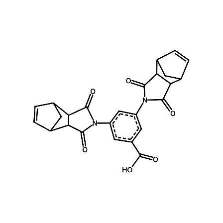 O=C(O)c1cc(N2C(=O)C3C4C=CC(C4)C3C2=O)cc(N2C(=O)C3C4C=CC(C4)C3C2=O)c1